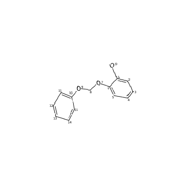 [O]c1ccccc1OCOc1ccccc1